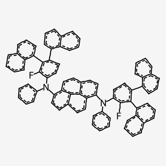 Fc1c(N(c2ccccc2)c2ccc3ccc4c(N(c5ccccc5)c5ccc(-c6cccc7ccccc67)c(-c6cccc7ccccc67)c5F)ccc5ccc2c3c54)ccc(-c2cccc3ccccc23)c1-c1cccc2ccccc12